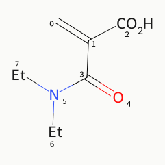 C=C(C(=O)O)C(=O)N(CC)CC